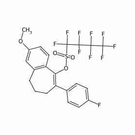 COc1ccc2c(c1)CCCC(c1ccc(F)cc1)=C2OS(=O)(=O)C(F)(F)C(F)(F)C(F)(F)C(F)(F)F